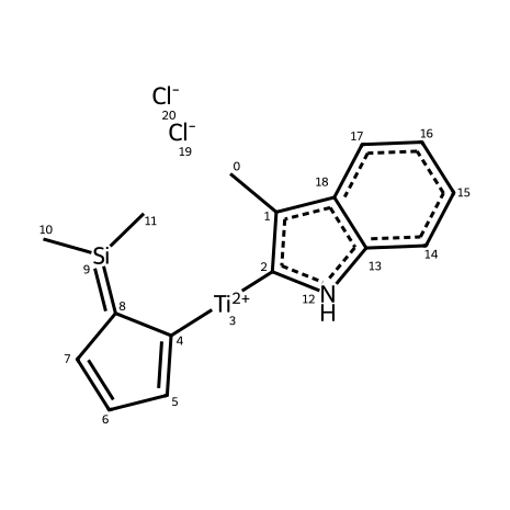 Cc1[c]([Ti+2][C]2=CC=CC2=[Si](C)C)[nH]c2ccccc12.[Cl-].[Cl-]